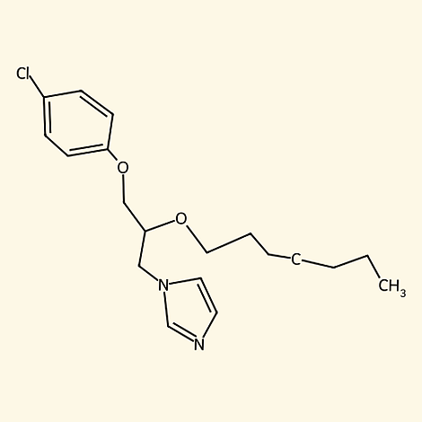 CCCCCCCOC(COc1ccc(Cl)cc1)Cn1ccnc1